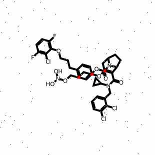 O=C(C1=C(Oc2ccc(CCCOc3c(F)ccc(F)c3Cl)cc2)CC2CCC1N2C(=O)OCCCCON(O)O)N(Cc1cccc(Cl)c1Cl)C1CC1